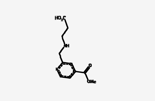 COC(=O)c1ccnc(CNCCC(=O)O)c1